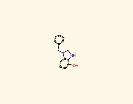 Oc1cccc2c1N[CH]N2Cc1ccccc1